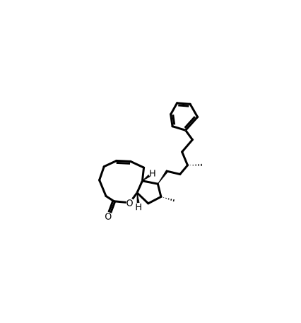 C[C@@H](CCc1ccccc1)CC[C@@H]1[C@H]2C/C=C\CCCC(=O)O[C@H]2C[C@H]1C